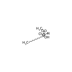 CCCCCCCCCCCCn1c(O)c(C#N)c(C(=O)OCC)c1Cl